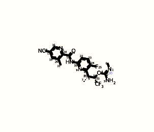 C/N=C(/N)O[C@@H]([C@H](C)c1nc(NC(=O)c2ncc(C#N)cc2C)ccc1F)C(F)(F)F